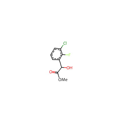 COC(=O)C(O)c1cccc(Cl)c1F